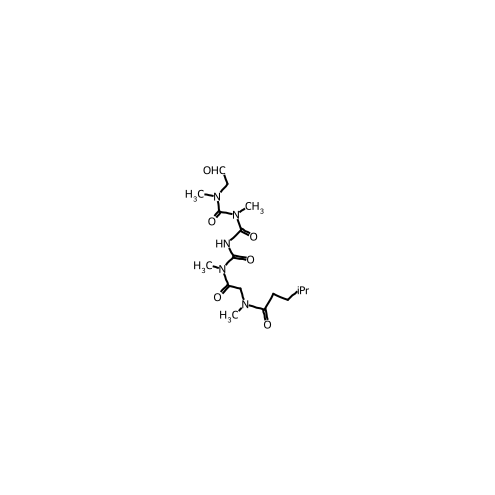 CC(C)CCC(=O)N(C)CC(=O)N(C)C(=O)NC(=O)N(C)C(=O)N(C)CC=O